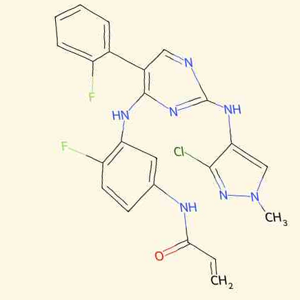 C=CC(=O)Nc1ccc(F)c(Nc2nc(Nc3cn(C)nc3Cl)ncc2-c2ccccc2F)c1